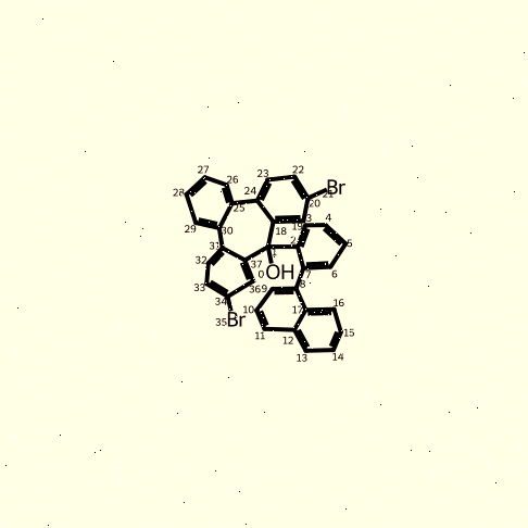 OC1(c2ccccc2-c2cccc3ccccc23)c2cc(Br)ccc2-c2ccccc2-c2ccc(Br)cc21